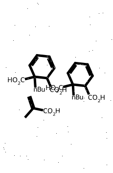 C=C(C)C(=O)O.CCCCC1(C(=O)O)C=CC=CC1C(=O)O.CCCCC1(C(=O)O)C=CC=CC1C(=O)O